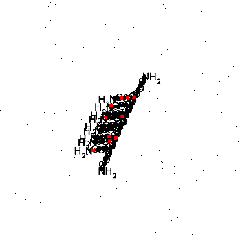 NCCOCCOCCOCC(COCC(COCC(CC(COCC(CC(COCC(CC(COCC(COCCOCCOCCN)OCCOCCOCCN)OCCOCCOCCN)OCCOCCOCCN)OCCOCCOCCN)OCCOCCOCCN)OCCOCCOCCN)OCCOCCOCCN)OCCOCCOCCN)OCCOCCOCCN